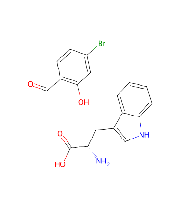 N[C@@H](Cc1c[nH]c2ccccc12)C(=O)O.O=Cc1ccc(Br)cc1O